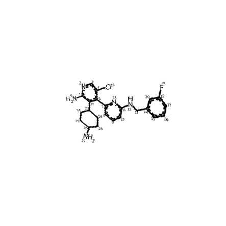 Nc1ncc(Cl)c(-c2cccc(NCc3cccc(F)c3)n2)c1C1CCC(N)CC1